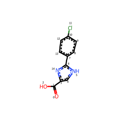 O=C(O)c1c[nH]c(-c2ccc(Cl)cc2)n1